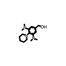 CN(C)c1cc(CO)cc(N(C)C)c1N1CCCCC1